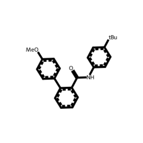 COc1ccc(-c2ccccc2C(=O)Nc2ccc(C(C)(C)C)cc2)cc1